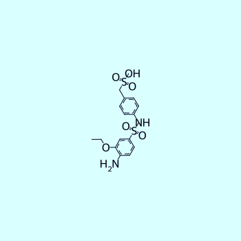 CCOc1cc(S(=O)(=O)Nc2ccc(CS(=O)(=O)O)cc2)ccc1N